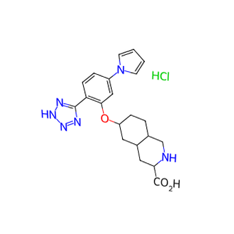 Cl.O=C(O)C1CC2CC(Oc3cc(-n4cccc4)ccc3-c3nn[nH]n3)CCC2CN1